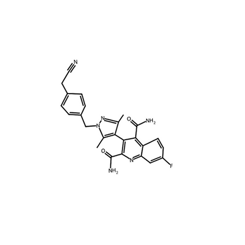 Cc1nn(Cc2ccc(CC#N)cc2)c(C)c1-c1c(C(N)=O)nc2cc(F)ccc2c1C(N)=O